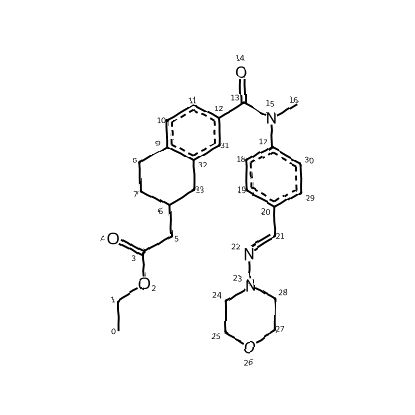 CCOC(=O)CC1CCc2ccc(C(=O)N(C)c3ccc(C=NN4CCOCC4)cc3)cc2C1